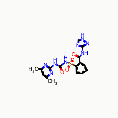 Cc1cc(C)nc(NC(=O)NS(=O)(=O)c2ccccc2C(=O)Nc2nc[nH]n2)n1